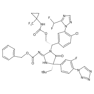 CC(C)(C)C[C@]1(c2ccc(-n3cnnn3)c(F)c2)N/C(=N\C(=O)OCc2ccccc2)N([C@H](COC(=O)NC2(C(F)(F)F)CC2)c2ccc(Cl)c(-n3ncnc3C(F)F)c2)C1=O